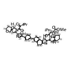 COC(=O)N[C@H](C(=O)N1[C@H](c2nc3c([nH]2)-c2ccc(-c4ccc(-c5cnc([C@@H]6C[C@@]7(CCCOC7)CN6C(=O)[C@@H](C)C(C)C)[nH]5)cc4)cc2CC3)C[C@@H]2CCCC[C@@H]21)C(C)C